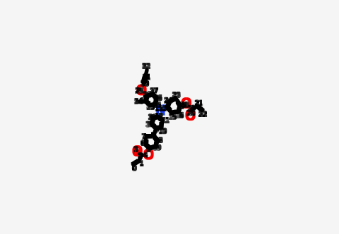 C=CC(=O)Oc1ccc(-c2ccc(N(c3ccc(OC(=O)C=C)cc3)c3ccc(OC#CC)c(C)c3)cc2)cc1